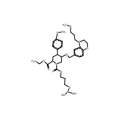 CCOC(=O)C1CC(c2ccc(OC)cc2)C(OCc2ccc3c(c2)N(CCCOC)CCO3)CN1C(=O)OCCCON(O)O